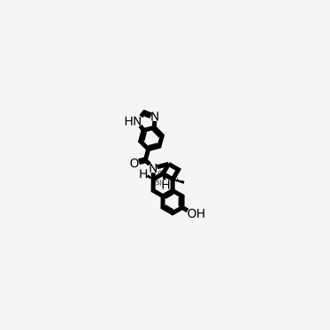 C[C@]12CC3[C@H]1[C@H](Cc1ccc(O)cc12)N3C(=O)c1ccc2nc[nH]c2c1